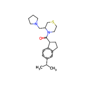 CC(C)c1ccc2c(c1)CCC2C(=O)N1CCSCC1CN1CCCC1